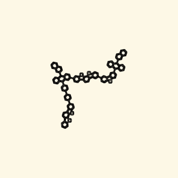 c1ccc2cc(-c3c4ccccc4c(-c4ccc5oc6ccc(-c7ccc8oc9c(ccc%10c%11ccc(-c%12ccc%13c(-c%14ccc%15ccccc%15c%14)c%14ccccc%14c(-c%14ccc(-c%15ccc(-c%16ccc%17oc%18c(ccc%19c%20ccccc%20oc%19%18)c%17c%16)cc%15)cc%14)c%13c%12)cc%11oc%109)c8c7)cc6c5c4)c4ccccc34)ccc2c1